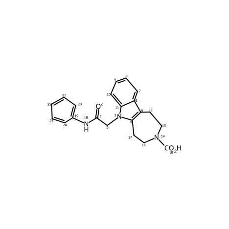 O=C(Cn1c2c(c3ccccc31)CCN(C(=O)O)CC2)Nc1ccccc1